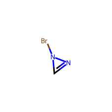 BrN1C=N1